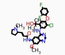 COc1cc2ncnc(Nc3cc(Cl)c(Oc4ccc(F)cc4F)cc3C(C)(C)O)c2cc1NC(=O)C=CC1CCCN1C